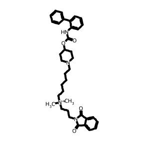 C[N+](C)(CCCCCCN1CCC(OC(=O)Nc2ccccc2-c2ccccc2)CC1)CCCN1C(=O)c2ccccc2C1=O